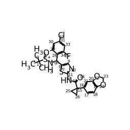 CC(C)(C)[S+]([O-])N[C@H](c1cnc(NC(=O)C2(c3ccc4c(c3)OCO4)CC2)s1)c1ccc(Cl)cc1F